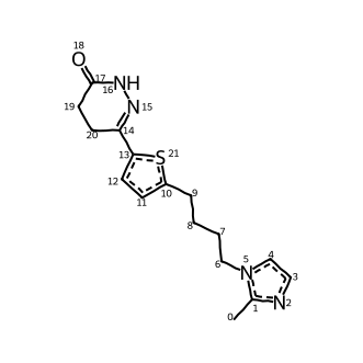 Cc1nccn1CCCCc1ccc(C2=NNC(=O)CC2)s1